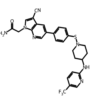 N#Cc1cn(CC(N)=O)c2ncc(-c3ccc(SN4CCC(Nc5ccc(C(F)(F)F)cn5)CC4)cc3)cc12